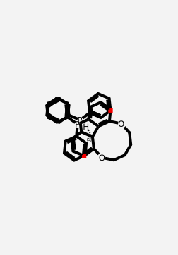 C1=CC(P(c2ccccc2)c2ccccc2)[C@@H]2C(=C1)OCCCCOc1cccc(P(c3ccccc3)c3ccccc3)c12